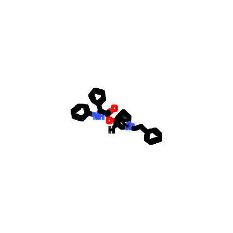 O=C(O[C@H]1C[N+]2(CCc3ccccc3)CCC1CC2)C(Nc1ccccc1)c1ccccc1